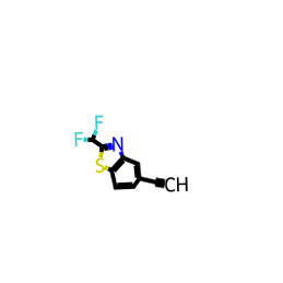 C#Cc1ccc2sc(C(F)F)nc2c1